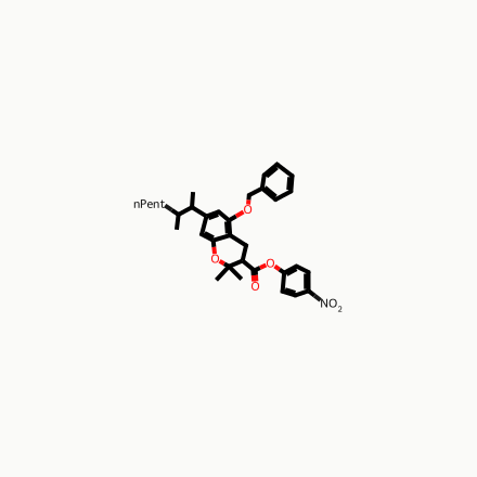 CCCCCC(C)C(C)c1cc(OCc2ccccc2)c2c(c1)OC(C)(C)C(C(=O)Oc1ccc([N+](=O)[O-])cc1)C2